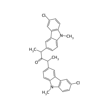 CC(C(=O)C(C)c1ccc2c(c1)c1cc(Cl)ccc1n2C)c1ccc2c(c1)c1cc(Cl)ccc1n2C